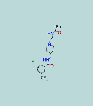 CC(C)(C)C(=O)NCCN1CCC(CNC(=O)c2cc(CF)cc(C(F)(F)F)c2)CC1